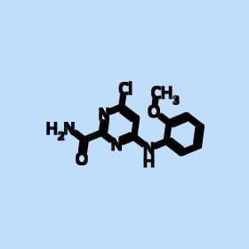 COc1ccccc1Nc1cc(Cl)nc(C(N)=O)n1